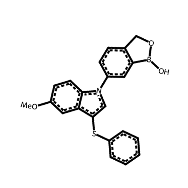 COc1ccc2c(c1)c(Sc1ccccc1)cn2-c1ccc2c(c1)B(O)OC2